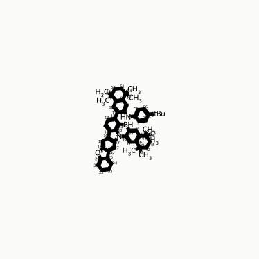 CC(C)(C)c1ccc(Nc2cc3c(cc2-c2ccc4c5cc6oc7ccccc7c6cc5n5c4c2Bc2cc4c(cc2-5)C(C)(C)CCC4(C)C)C(C)(C)CCC3(C)C)cc1